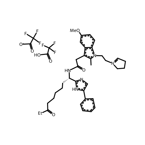 CCC(=O)CCCCC[C@H](NC(=O)Cc1c(C)n(CC[N+]2=CCCC2)c2ccc(OC)cc12)c1ncc(-c2ccccc2)[nH]1.O=C(O)C(F)(F)F.O=C([O-])C(F)(F)F